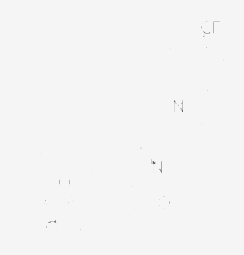 O=C(c1ccc(C2(OCC3CC3)COC2)cc1)N1CC2CN(c3ccc(C(F)(F)F)cc3)CC2C1